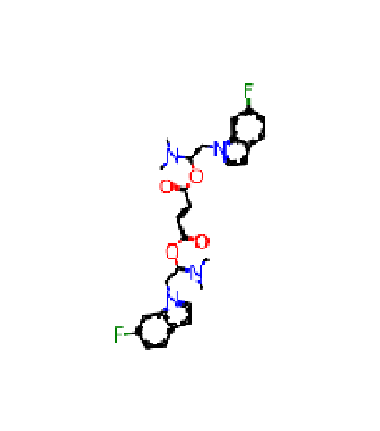 CN(C)C(Cn1ccc2ccc(F)cc21)OC(=O)/C=C/C(=O)OC(Cn1ccc2ccc(F)cc21)N(C)C